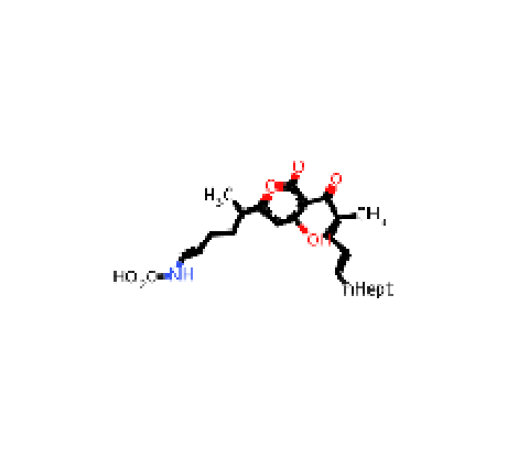 CCCCCCCC=CC=C(C)C(=O)c1c(O)cc(C(C)CCC=CNC(=O)O)oc1=O